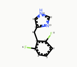 Fc1cccc(F)c1Cc1c[nH]cn1